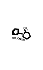 CC1CCCCN1c1ccccc1.O=C(O)O